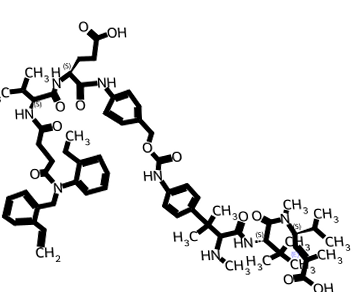 C=Cc1ccccc1CN(C(=O)CCC(=O)N[C@H](C(=O)N[C@@H](CCC(=O)O)C(=O)Nc1ccc(COC(=O)Nc2ccc(C(C)(C)C(NC)C(=O)N[C@H](C(=O)N(C)[C@H](/C=C(\C)C(=O)O)C(C)C)C(C)(C)C)cc2)cc1)C(C)C)c1ccccc1CC